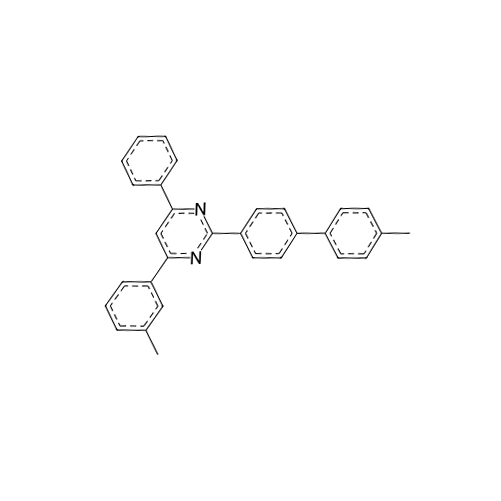 Cc1ccc(-c2ccc(-c3nc(-c4ccccc4)cc(-c4cccc(C)c4)n3)cc2)cc1